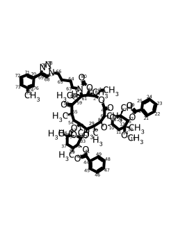 CC[C@H]1OC(=O)[C@H](C)[C@@H](O[C@H]2C[C@@](C)(OC)[C@@H](OC(=O)c3ccccc3)[C@H](C)O2)[C@H](C)[C@@H](O[C@@H]2O[C@H](C)C[C@H](C)[C@H]2OC(=O)c2ccccc2)[C@@](C)(OC)C[C@@H](C)C(=O)[C@H](C)[C@@H]2N(CCCCn3cc(-c4cccc(C)c4)nn3)C(=O)O[C@@]21C